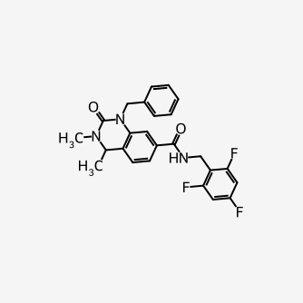 CC1c2ccc(C(=O)NCc3c(F)cc(F)cc3F)cc2N(Cc2ccccc2)C(=O)N1C